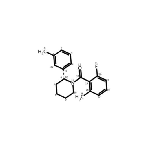 Cc1cccc([C@H]2CCCCN2C(=O)c2c(C)cccc2F)c1